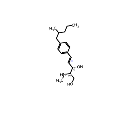 CCCC(C)Cc1ccc(/C=C/[C@H](O)[C@@H](CO)NC)cc1